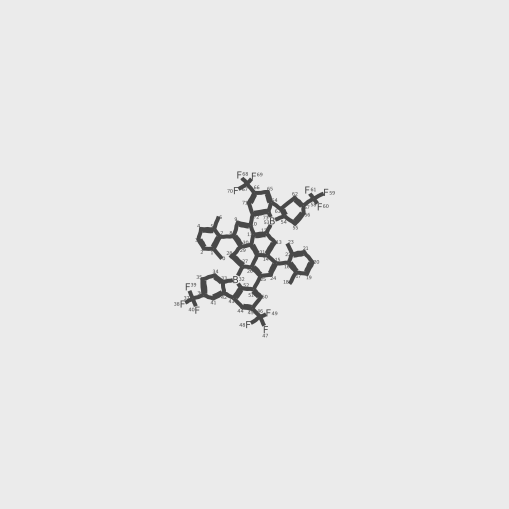 Cc1cccc(C)c1-c1cc2c3c(cc4c(-c5c(C)cccc5C)cc5c6c(cc1c3c46)B1c3ccc(C(F)(F)F)cc3-c3cc(C(F)(F)F)cc-5c31)B1c3ccc(C(F)(F)F)cc3-c3cc(C(F)(F)F)cc-2c31